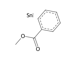 COC(=O)c1ccccc1.[Sn]